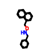 c1ccc(CNOCc2cccc3ccccc23)cc1